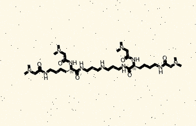 CN(C)CC(=O)NCCCC[C@H](NC(=O)CN(C)C)C(=O)NCCCNCCCNC(=O)[C@H](CCCCNC(=O)CN(C)C)NC(=O)CN(C)C